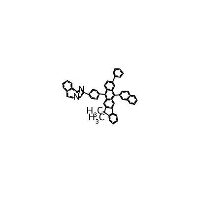 CC1(C)c2ccccc2-c2cc3c(-c4ccc5ccccc5c4)c4cc(-c5ccccc5)ccc4c(-c4ccc(-c5cn6ccc7ccccc7c6n5)cc4)c3cc21